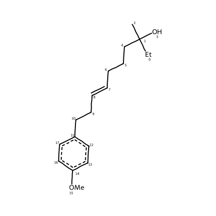 CCC(C)(O)CCC/C=C/CCc1ccc(OC)cc1